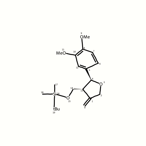 C=C1CO[C@H](c2ccc(OC)c(OC)c2)[C@H]1CO[Si](C)(C)C(C)(C)C